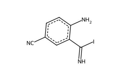 N#Cc1ccc(N)c(C(=N)I)c1